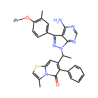 Cc1cc(-c2nn(C(C)c3cc4scc(C)n4c(=O)c3-c3ccccc3)c3ncnc(N)c23)ccc1OC(C)C